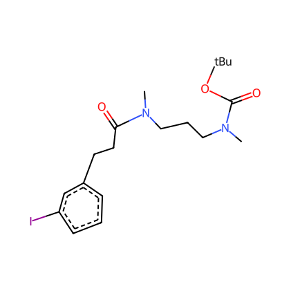 CN(CCCN(C)C(=O)OC(C)(C)C)C(=O)CCc1cccc(I)c1